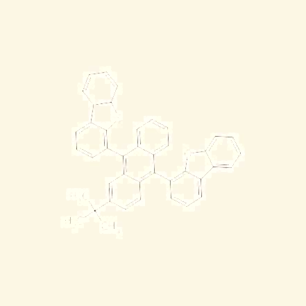 CC(C)(C)c1ccc2c(-c3cccc4c3oc3ccccc34)c3ccccc3c(-c3cccc4c3SC3C=CC=CC43)c2c1